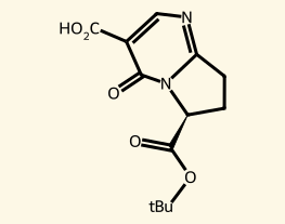 CC(C)(C)OC(=O)[C@@H]1CCc2ncc(C(=O)O)c(=O)n21